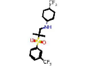 CC(C)(CN[C@H]1CC[C@@H](C(F)(F)F)CC1)S(=O)(=O)c1cccc(C(F)(F)F)c1